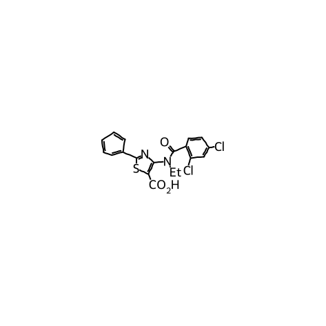 CCN(C(=O)c1ccc(Cl)cc1Cl)c1nc(-c2ccccc2)sc1C(=O)O